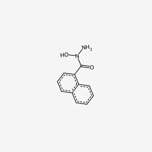 NN(O)C(=O)c1cccc2ccccc12